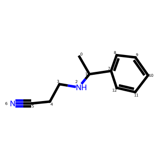 CC(NCCC#N)c1ccccc1